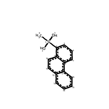 C[Si](O)(O)c1cccc2c1ccc1ccccc12